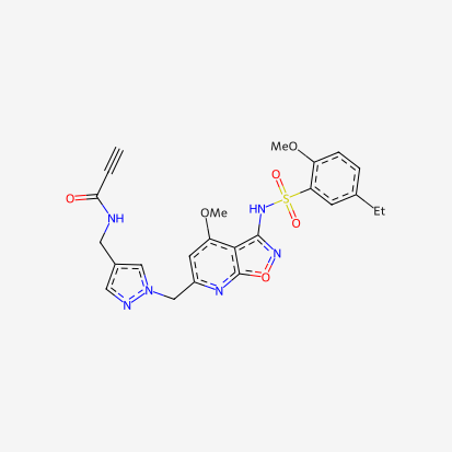 C#CC(=O)NCc1cnn(Cc2cc(OC)c3c(NS(=O)(=O)c4cc(CC)ccc4OC)noc3n2)c1